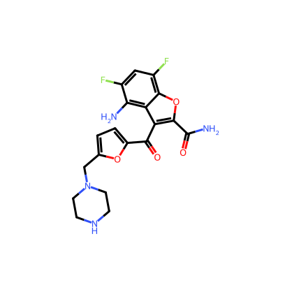 NC(=O)c1oc2c(F)cc(F)c(N)c2c1C(=O)c1ccc(CN2CCNCC2)o1